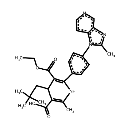 CCOC(=O)C1=C(c2ccc(-n3c(C)nc4cnccc43)cc2)NC(C)=C(C(=O)O)C1CC(C)(C)C